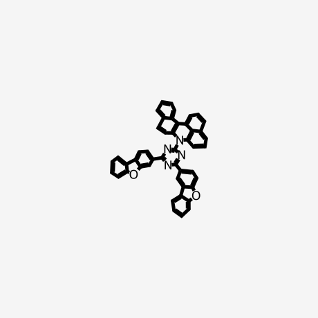 c1ccc2c3c(ccc2c1)N(c1nc(-c2ccc4c(c2)oc2ccccc24)nc(-c2ccc4oc5ccccc5c4c2)n1)c1cccc2cccc-3c12